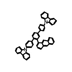 c1ccc2cc3c(-c4cc(-c5ccc(-n6c7ccccc7c7ccccc76)cc5)ccc4-c4ccc(-n5c6ccccc6c6ccccc65)cc4)cccc3cc2c1